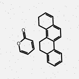 C1=Cc2ccc3c(c2CC1)CCc1ccccc1-3.O=c1cccco1